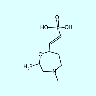 BC1CN(C)CCC(/C=C/P(=O)(O)O)O1